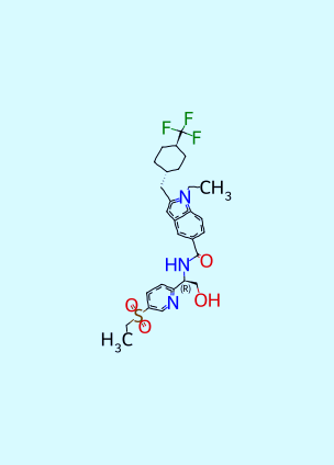 CCn1c(C[C@H]2CC[C@H](C(F)(F)F)CC2)cc2cc(C(=O)N[C@@H](CO)c3ccc(S(=O)(=O)CC)cn3)ccc21